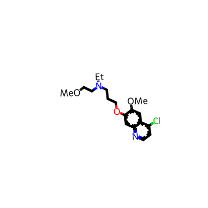 CCN(CCCOc1cc2nccc(Cl)c2cc1OC)CCOC